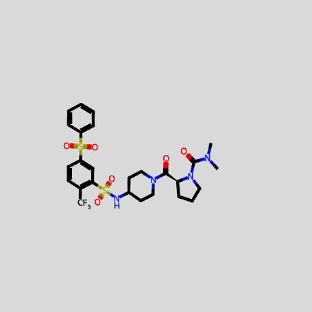 CN(C)C(=O)N1CCC[C@H]1C(=O)N1CCC(NS(=O)(=O)c2cc(S(=O)(=O)c3ccccc3)ccc2C(F)(F)F)CC1